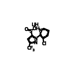 O=S(O)c1cc(C(F)(F)F)nn1-c1ncccc1Cl.[LiH]